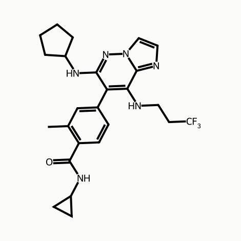 Cc1cc(-c2c(NC3CCCC3)nn3ccnc3c2NCCC(F)(F)F)ccc1C(=O)NC1CC1